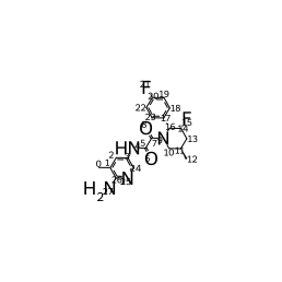 Cc1cc(NC(=O)C(=O)N2C[C@H](C)C[C@@H](F)[C@H]2c2ccc(F)cc2)cnc1N